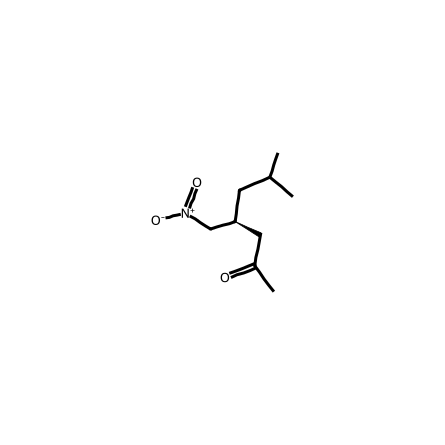 CC(=O)C[C@H](CC(C)C)C[N+](=O)[O-]